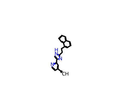 C#Cc1ccnc(-c2c[nH]c(CCc3cccc4ccccc34)n2)c1